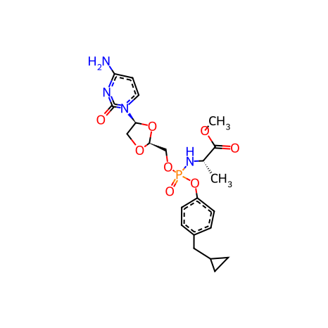 COC(=O)[C@H](C)NP(=O)(OC[C@H]1OC[C@@H](n2ccc(N)nc2=O)O1)Oc1ccc(CC2CC2)cc1